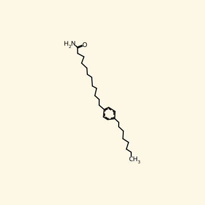 CCCCCCCCc1ccc(CCCCCCCCCCCC(N)=O)cc1